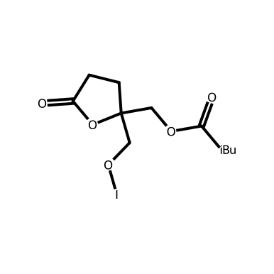 CCC(C)C(=O)OCC1(COI)CCC(=O)O1